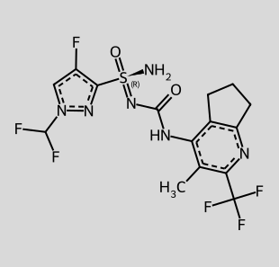 Cc1c(C(F)(F)F)nc2c(c1NC(=O)N=[S@@](N)(=O)c1nn(C(F)F)cc1F)CCC2